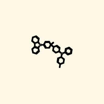 CC1C=CC(N(c2ccccc2)C2C=CC(C3(C)C=CC(N4C5=C(CCC=C5)C5CCC=CC54)=CC3)CC2)CC1